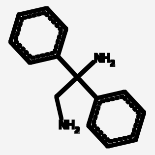 NCC(N)(c1ccccc1)c1ccccc1